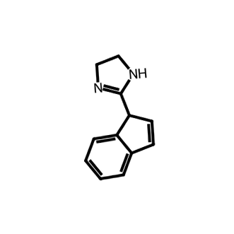 C1=CC(C2=NCCN2)c2ccccc21